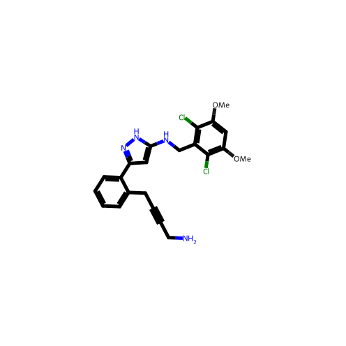 COc1cc(OC)c(Cl)c(CNc2cc(-c3ccccc3CC#CCN)n[nH]2)c1Cl